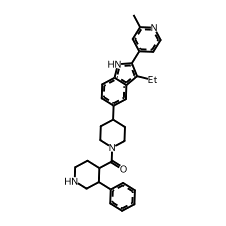 CCc1c(-c2ccnc(C)c2)[nH]c2ccc(C3CCN(C(=O)C4CCNCC4c4ccccc4)CC3)cc12